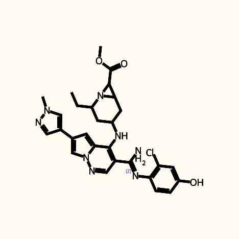 CCC1CC(Nc2c(/C(N)=N/c3ccc(O)cc3Cl)cnn3cc(-c4cnn(C)c4)cc23)CC2C(C(=O)OC)N12